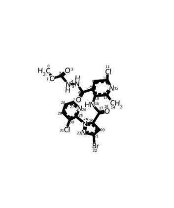 COC(=O)NNC(=O)c1cc(Cl)nc(C)c1NC(=O)c1cc(Br)nn1-c1ncccc1Cl